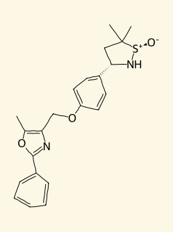 Cc1oc(-c2ccccc2)nc1COc1ccc([C@@H]2CC(C)(C)[S@@+]([O-])N2)cc1